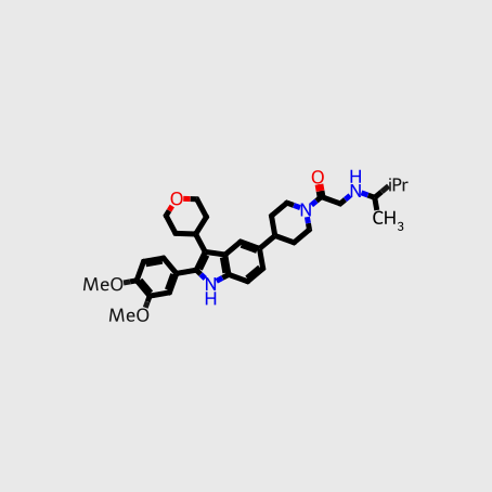 COc1ccc(-c2[nH]c3ccc(C4CCN(C(=O)CNC(C)C(C)C)CC4)cc3c2C2CCOCC2)cc1OC